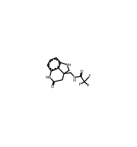 O=C1CC2(CNC(=O)C(F)(F)F)CNc3cccc(c32)N1